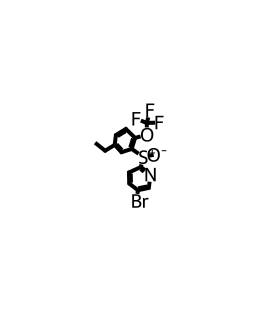 CCc1ccc(OC(F)(F)F)c([S+]([O-])c2ccc(Br)cn2)c1